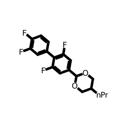 CCCC1COC(c2cc(F)c(-c3ccc(F)c(F)c3)c(F)c2)OC1